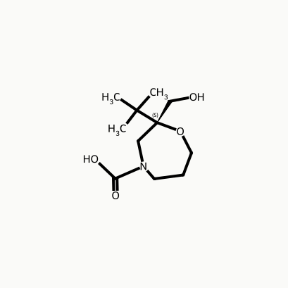 CC(C)(C)[C@@]1(CO)CN(C(=O)O)CCCO1